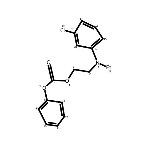 CCN(CCOC(=O)Oc1ccccc1)c1cccc(Cl)c1